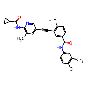 Cc1ccc(C(=O)Nc2ccc(C)c(C(F)(F)F)c2)cc1C#Cc1cnc(NC(=O)C2CC2)c(C)c1